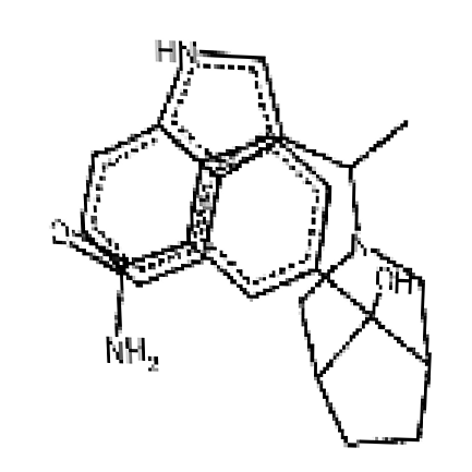 CC(c1c[nH]c2ccccc12)N1CC2CCC(C1)C2(O)c1cccc(C(N)=O)c1